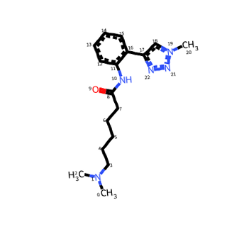 CN(C)CCCCCC(=O)Nc1ccccc1-c1cn(C)nn1